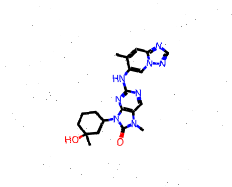 Cc1cc2ncnn2cc1Nc1ncc2c(n1)n(C1CCCC(C)(O)C1)c(=O)n2C